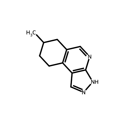 CC1CCc2c(cnc3[nH]ncc23)C1